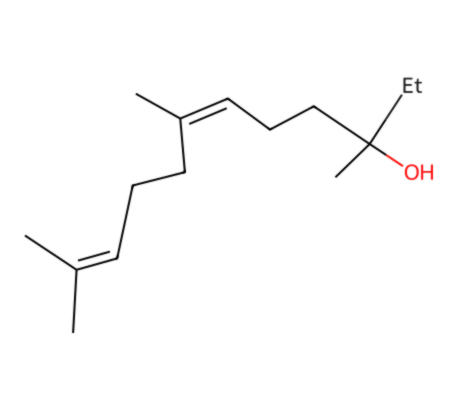 CCC(C)(O)CCC=C(C)CCC=C(C)C